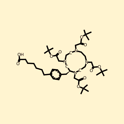 CC(C)(C)OC(=O)CN1CCN(CC(=O)OC(C)(C)C)CCN(CC(=O)OC(C)(C)C)[C@@H](Cc2ccc(CCCCCCC(=O)O)cc2)CN(CC(=O)OC(C)(C)C)CC1